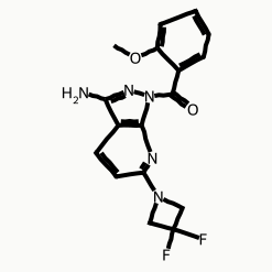 COc1ccccc1C(=O)n1nc(N)c2ccc(N3CC(F)(F)C3)nc21